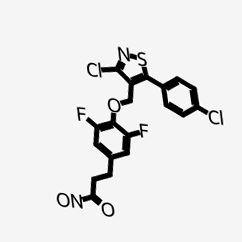 O=NC(=O)CCc1cc(F)c(OCc2c(Cl)nsc2-c2ccc(Cl)cc2)c(F)c1